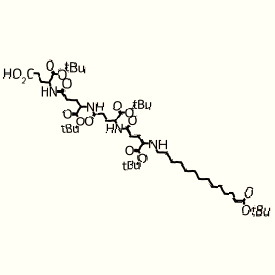 CC(C)(C)OC(=O)CCCCCCCCCCCCCNC(CCC(=O)NC(CCC(=O)NC(CCC(=O)NC(CCC(=O)O)C(=O)OC(C)(C)C)C(=O)OC(C)(C)C)C(=O)OC(C)(C)C)C(=O)OC(C)(C)C